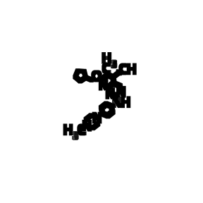 C#Cc1c(C)c(OCC2CCCC2)nc2nc(Nc3ccc(N4CCN(C)CC4)cc3)ncc12